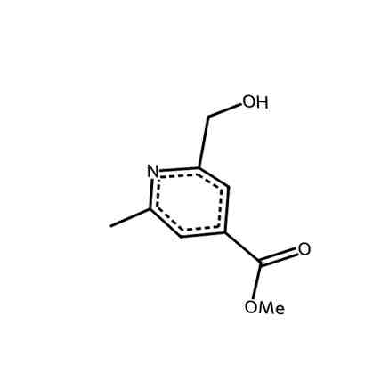 COC(=O)c1cc(C)nc(CO)c1